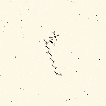 CSCCCCCCNCCN(C)C(=O)NC(C)(C)C(C)=O